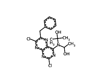 CC(O)N(c1nc(Cl)nc2nc(Cl)c(Cc3ccccc3)nc12)C(C)(C)O